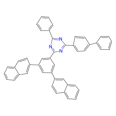 c1ccc(-c2ccc(-c3nc(-c4ccccc4)nc(-c4cc(-c5ccc6ccccc6c5)cc(-c5ccc6ccccc6c5)c4)n3)cc2)cc1